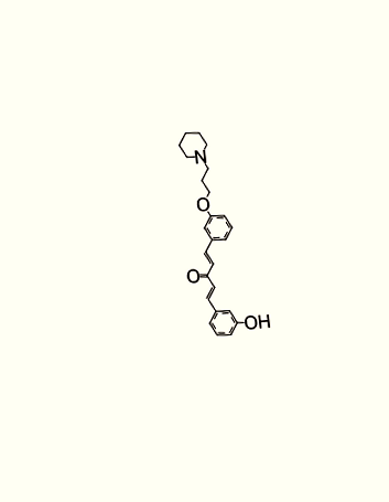 O=C(/C=C/c1cccc(O)c1)/C=C/c1cccc(OCCCN2CCCCC2)c1